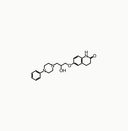 O=C1CCc2cc(OCC(O)CN3CCN(c4ccccc4)CC3)ccc2N1